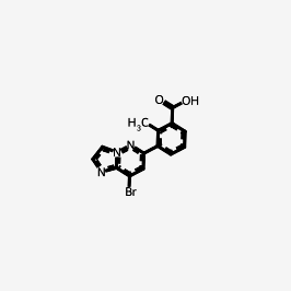 Cc1c(C(=O)O)cccc1-c1cc(Br)c2nccn2n1